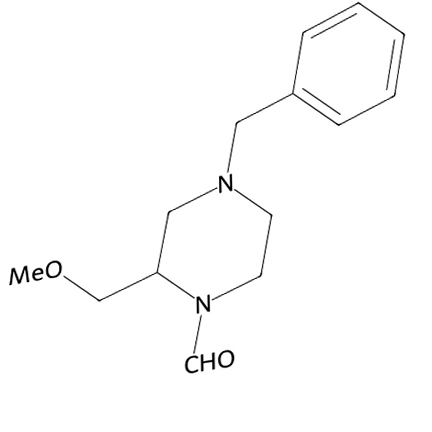 COCC1CN(Cc2ccccc2)CCN1C=O